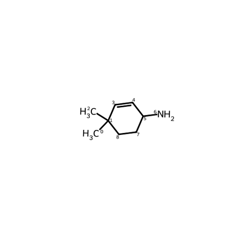 CC1(C)C=CC(N)CC1